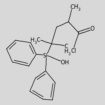 CC(CC(C)(C)[Si](O)(c1ccccc1)c1ccccc1)C(=O)Cl